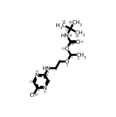 CC(OCCNc1cnc(Cl)cn1)OC(=O)NC(C)(C)C